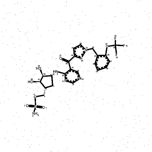 NS(=O)(=O)OC[C@H]1C[C@@H](Nc2ncncc2C(=O)c2ccn(Cc3ccccc3OC(F)(F)F)n2)[C@H](O)[C@@H]1O